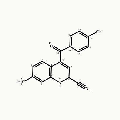 Cc1ccc2c(c1)NC(C#N)C=C2C(=O)c1ccc(Cl)cc1